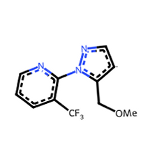 COCc1[c]cnn1-c1ncccc1C(F)(F)F